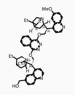 CCC1C[N@@]2CCC1C[C@H]2[C@H](COc1nnc(OC[C@H](c2ccnc3ccc(OC)cc23)[C@@H]2C[C@H]3CCN2CC3CC)c2ccccc12)c1ccnc2ccc(CO)cc12